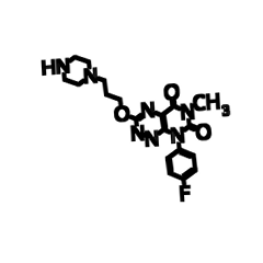 Cn1c(=O)c2nc(OCCCN3CCNCC3)nnc2n(-c2ccc(F)cc2)c1=O